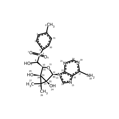 Cc1ccc(S(=O)(=O)C(O)[C@H]2O[C@@H](n3cnc4c(N)ncnc43)[C@]3(O)C(C)(C)[C@]23O)cc1